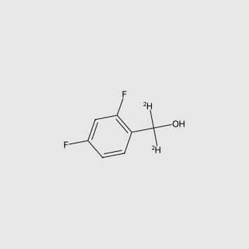 [2H]C([2H])(O)c1ccc(F)cc1F